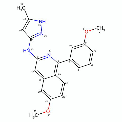 COc1cccc(-c2nc(Nc3cc(C)[nH]n3)cc3cc(OC)ccc23)c1